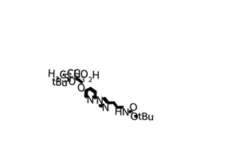 CC(C)(C)OC(=O)NCCCc1cn(-c2ccc(OC[C@@H](O[Si](C)(C)C(C)(C)C)C(=O)O)cn2)cn1